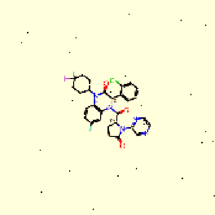 O=C(NC1CCC(F)(I)CC1)[C@H](c1ccccc1Cl)N(C(=O)[C@@H]1CCC(=O)N1c1cnccn1)c1cccc(F)c1